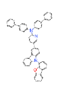 c1ccc(-c2ccc(N(c3ccc(-c4ccccc4)cc3)c3ccc(-c4ccc5c(c4)c4ccccc4n5-c4cccc5c4oc4ccccc45)cn3)cc2)cc1